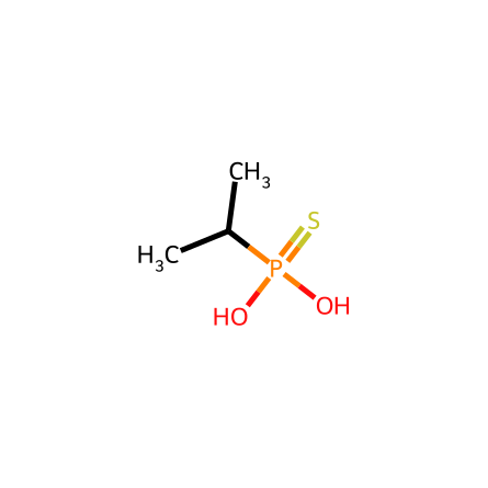 CC(C)P(O)(O)=S